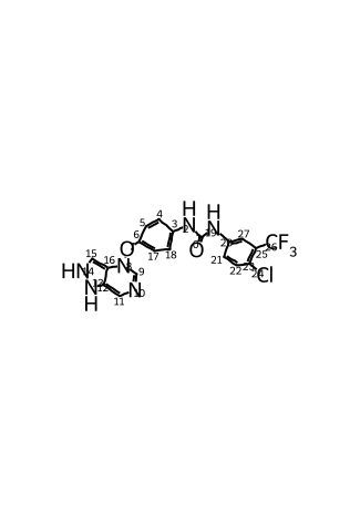 O=C(Nc1ccc(ON2C=NC=C3NNC=C32)cc1)Nc1ccc(Cl)c(C(F)(F)F)c1